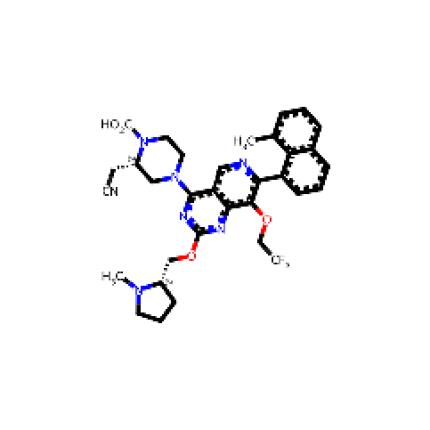 Cc1cccc2cccc(-c3ncc4c(N5CCN(C(=O)O)[C@@H](CC#N)C5)nc(OC[C@@H]5CCCN5C)nc4c3OCC(F)(F)F)c12